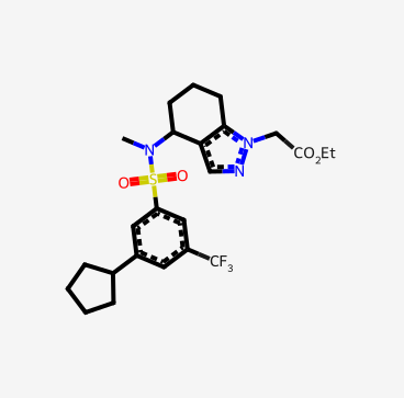 CCOC(=O)Cn1ncc2c1CCCC2N(C)S(=O)(=O)c1cc(C2CCCC2)cc(C(F)(F)F)c1